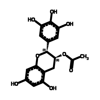 CC(=O)O[C@@H]1Cc2c(O)cc(O)cc2O[C@@H]1c1cc(O)c(O)c(O)c1